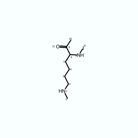 CNCCCCC(NI)C(C)=O